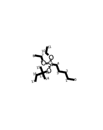 CCCCC[Si](OCC)(OCC)OC(C)(C)CC